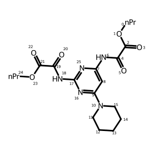 CCCOC(=O)C(=O)Nc1cc(N2CCCCC2)nc(NC(=O)C(=O)OCCC)n1